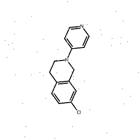 Clc1ccc2c(c1)CN(c1ccncc1)CC2